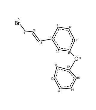 BrC/C=C/c1cccc(Oc2ccccc2)c1